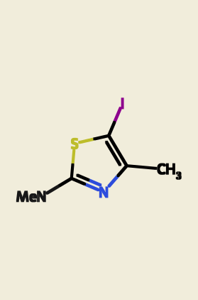 CNc1nc(C)c(I)s1